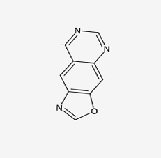 [c]1ncnc2cc3ocnc3cc12